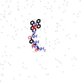 NC(=O)CNCC(=O)Nc1cccc(C(=O)NCCN2CCC(OC(=O)N(c3ccccc3-c3ccccc3)c3ccccc3-c3ccccc3)CC2)c1